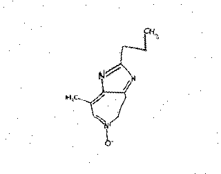 CCCC1=NC2=C(C)C=[N+]([O-])CC2=N1